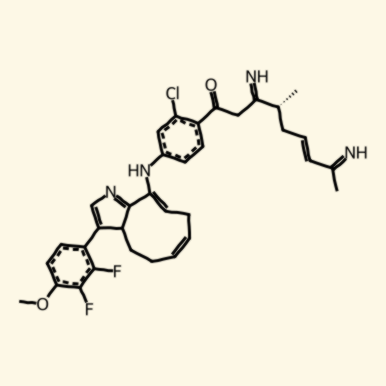 COc1ccc(C2=CN=C3/C(Nc4ccc(C(=O)CC(=N)[C@H](C)C/C=C/C(C)=N)c(Cl)c4)=C/C/C=C\CCC23)c(F)c1F